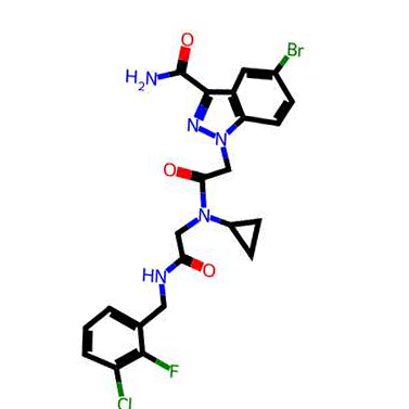 NC(=O)c1nn(CC(=O)N(CC(=O)NCc2cccc(Cl)c2F)C2CC2)c2ccc(Br)cc12